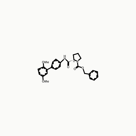 COc1ccc(OC)c(-c2ccc(NC(=O)[C@@H]3CCCN3C(=O)OCc3ccccc3)cc2)c1